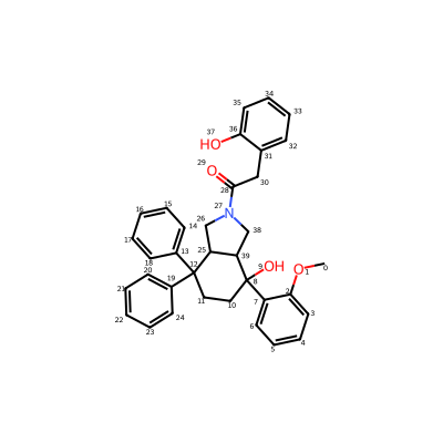 COc1ccccc1C1(O)CCC(c2ccccc2)(c2ccccc2)C2CN(C(=O)Cc3ccccc3O)CC21